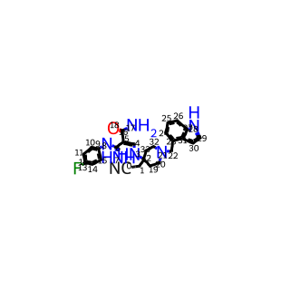 N#CCC1(N/C=C(\C(=N)Nc2ccc(F)cc2)C(N)=O)CCN(Cc2cccc3[nH]ccc23)CC1